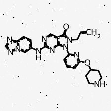 C=CCn1c(=O)c2cnc(Nc3ccc4ncnn4c3)nc2n1-c1cccc(OC2CCNCC2)n1